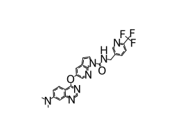 CN(C)c1ccc2c(Oc3cnc4c(ccn4C(=O)NCc4ccc(C(F)(F)F)nc4)c3)ncnc2c1